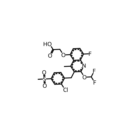 Cc1c(Cc2ccc(S(C)(=O)=O)cc2Cl)c(OC(F)F)nc2c(F)ccc(OCC(=O)O)c12